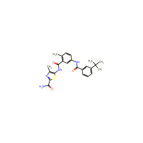 Cc1ccc(NC(=O)c2cccc(C(C)(C)C#N)c2)cc1C(=O)Nc1sc(C(N)=O)nc1C